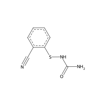 N#Cc1ccccc1SNC(N)=O